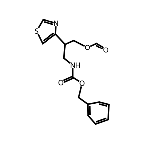 O=COCC(CNC(=O)OCc1ccccc1)c1cscn1